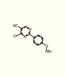 CCCCOc1ccc(-c2ncc(C#N)c(Cl)n2)cc1